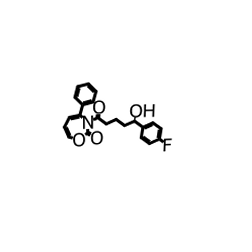 O=C(CCC[C@H](O)c1ccc(F)cc1)N1C(=O)OC=CC=C1c1ccccc1